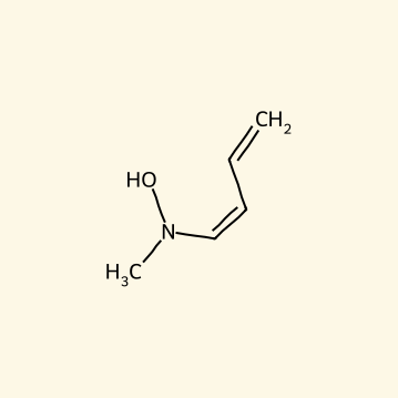 C=C/C=C\N(C)O